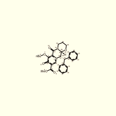 CCCCOc1c2n(cc(C(=O)OC)c1=O)[C@@H](C(c1ccccc1)c1ccccc1)[C@H]1OCCCN1C2=O